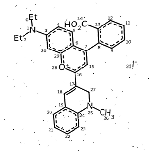 CCN(CC)c1ccc2c(-c3ccccc3C(=O)O)cc(C3=Cc4ccccc4N(C)C3)[o+]c2c1.[I-]